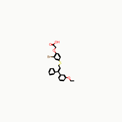 CCOc1cccc(C(=CCSc2ccc(OCC(=O)O)c(Br)c2)c2ccccc2)c1